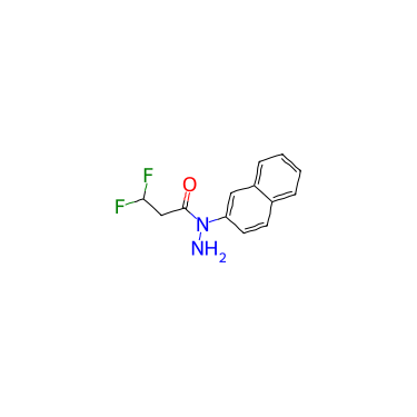 NN(C(=O)CC(F)F)c1ccc2ccccc2c1